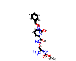 CC(C)(C)OC(=O)N[C@H](N)CONC(=O)[C@@H]1CCC2CN1C(=O)N2OCc1ccccc1